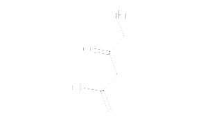 C=C(Cl)CC(=O)CC(C)C